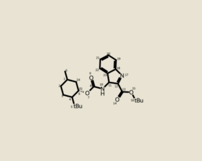 CC1CCC(C(C)(C)C)[C@@H](OC(=O)NC2C(C(=O)OC(C)(C)C)=Nc3ccccc32)C1